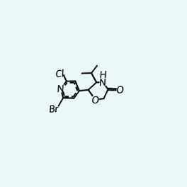 CC(C)C1NC(=O)COC1c1cc(Cl)nc(Br)c1